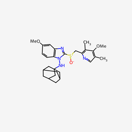 COc1ccc2c(c1)nc([S+]([O-])Cc1ncc(C)c(OC)c1C)n2NC12CC3CC(CC(C3)C1)C2